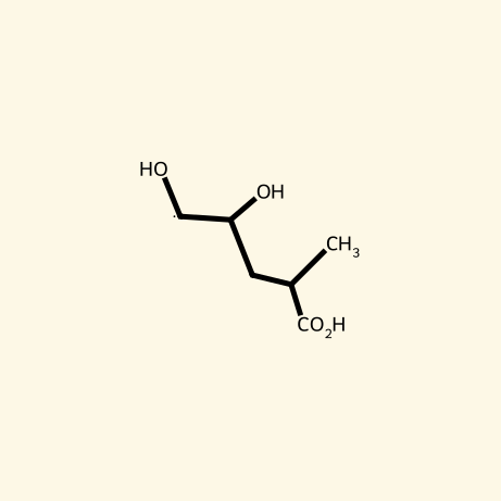 CC(CC(O)[CH]O)C(=O)O